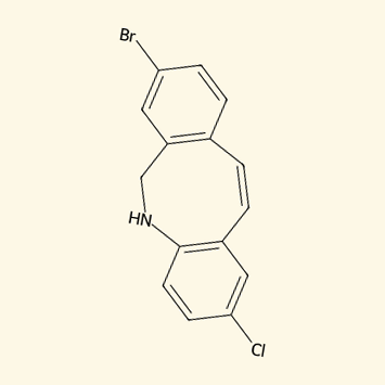 Clc1ccc2c(c1)/C=C\c1ccc(Br)cc1CN2